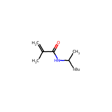 C=C(C)C(=O)NC(C)CCCC